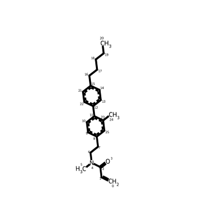 C=CC(=O)N(C)CCc1ccc(-c2ccc(CCCCC)cc2)c(C)c1